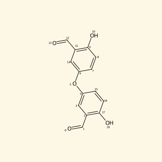 O=Cc1cc(Oc2ccc(O)c(C=O)c2)ccc1O